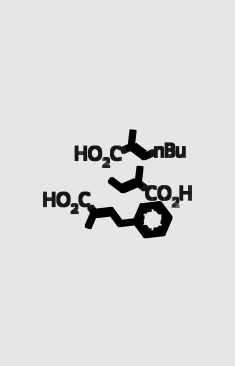 CC(=CCc1ccccc1)C(=O)O.CC=C(C)C(=O)O.CCCCC=C(C)C(=O)O